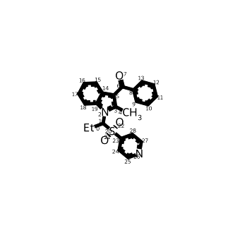 CCC(n1c(C)c(C(=O)c2ccccc2)c2ccccc21)S(=O)(=O)c1ccncc1